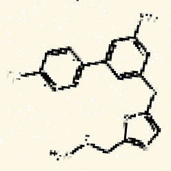 CSc1cc(Sc2cnc(CNC(=O)O)s2)cc(-c2ccc(C(F)(F)F)cc2)c1